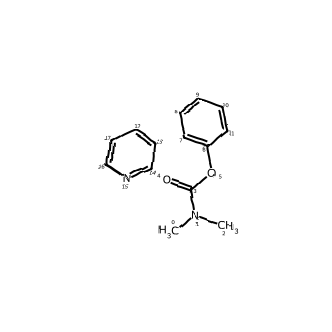 CN(C)C(=O)Oc1ccccc1.c1ccncc1